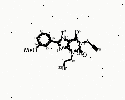 C#CCn1c(=O)c2c(nc(-c3cccc(OC)c3)n2C)n(CCBr)c1=O